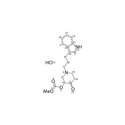 COC(=O)OC1CN(CCCc2c[nH]c3ccccc23)CCC1=O.Cl